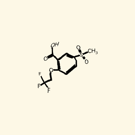 CS(=O)(=O)c1ccc(OCC(F)(F)F)c(C(=O)O)c1